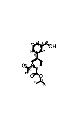 C=C/C(=C\N(CC(=O)OC(C)C)C(C)=O)c1cccc(CO)c1